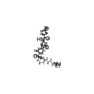 CCNCCCCC1CCCN(C(=O)c2ccc(N3CC(NC(=O)c4ccc(Br)s4)CC3=O)cc2C)C1